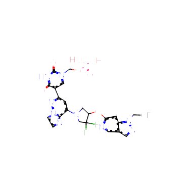 O=c1[nH]c(=O)n(COP(=O)(O)O)cc1-c1cc(N2CC(Oc3cc4c(cn3)cnn4CC(F)(F)F)C(F)(F)C2)c2nccn2n1